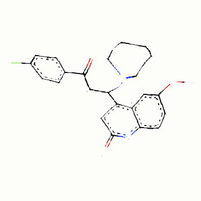 COc1ccc2[nH]c(=O)cc(C(CC(=O)c3ccc(F)cc3)N3CCCCC3)c2c1